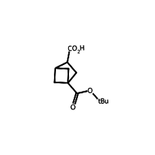 CC(C)(C)OC(=O)C12CC(C1)C(C(=O)O)C2